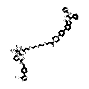 Cc1ncsc1-c1ccc(CNC(=O)[C@@H]2CCCN2C(=O)[C@@H](NC(=O)CCOCCOCCOCCC(=O)N2CCN(c3ccc(-c4ccc5c(c4)C(=O)N(C(C(=O)Nc4nccs4)c4ccccc4)C5)cc3)CC2)C(C)(C)C)cc1